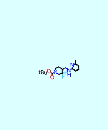 Cc1cccc(NC[C@@H]2CCN(C(=O)OC(C)(C)C)CC2(F)F)n1